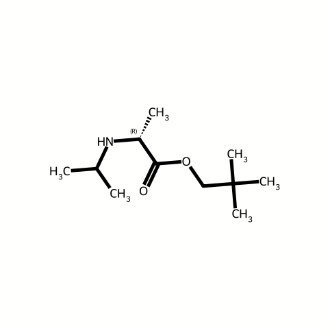 CC(C)N[C@H](C)C(=O)OCC(C)(C)C